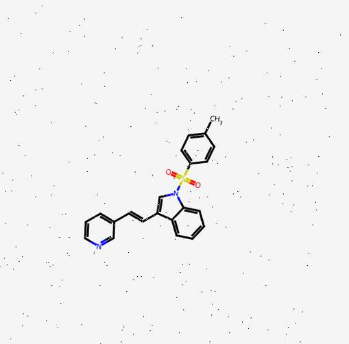 Cc1ccc(S(=O)(=O)n2cc(C=Cc3cccnc3)c3ccccc32)cc1